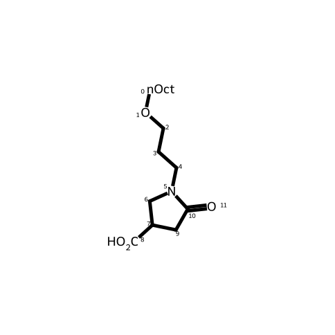 CCCCCCCCOCCCN1CC(C(=O)O)CC1=O